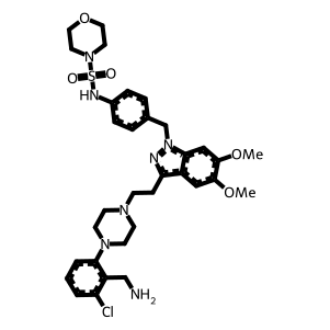 COc1cc2c(CCN3CCN(c4cccc(Cl)c4CN)CC3)nn(Cc3ccc(NS(=O)(=O)N4CCOCC4)cc3)c2cc1OC